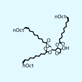 CCCCCCCC/C=C\CCCCCCCC(=O)OC[C@@H](OC(=O)CCCCCCC/C=C\CCCCCCCC)[C@H]1OC[C@H](O)[C@H]1OC(=O)CCCCCCC/C=C\CCCCCCCC